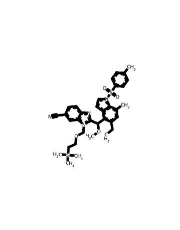 CCc1cc(C)c2c(ccn2S(=O)(=O)c2ccc(C)cc2)c1C(OC)c1nc2ccc(C#N)cc2n1COCC[Si](C)(C)C